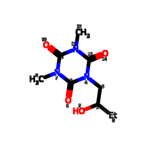 CCC(O)Cn1c(=O)n(C)c(=O)n(C)c1=O